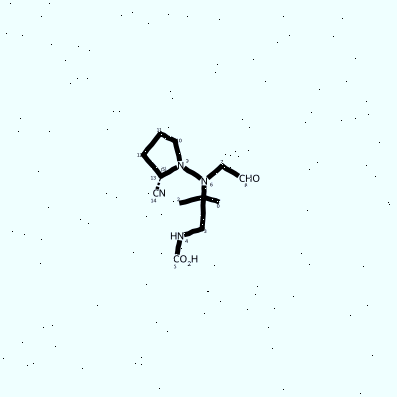 CC(C)(CNC(=O)O)N(CC=O)N1CCC[C@H]1C#N